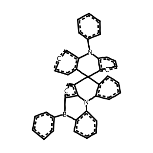 c1ccc(B2c3ccccc3N3c4ccccc4C4(c5ccccc5N(c5ccccc5)c5ccccc54)c4cccc2c43)cc1